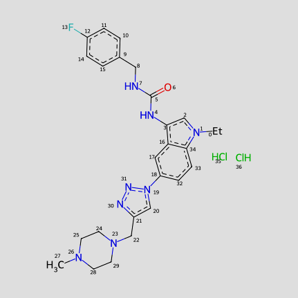 CCn1cc(NC(=O)NCc2ccc(F)cc2)c2cc(-n3cc(CN4CCN(C)CC4)nn3)ccc21.Cl.Cl